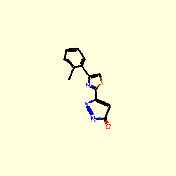 Cc1ccccc1-c1csc(C2=CC(=O)N=N2)n1